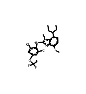 CCC(CC)c1ccc(OC)c2nc(Nc3c(Cl)cc(OC(F)(F)F)cc3Cl)n(C)c12